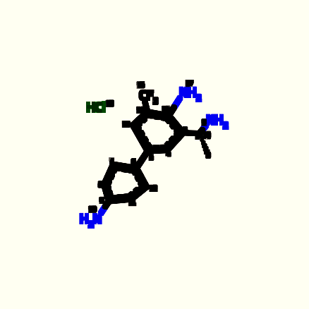 C[C@@H](N)c1cc(-c2ccc(N)cc2)cc(C(F)(F)F)c1N.Cl